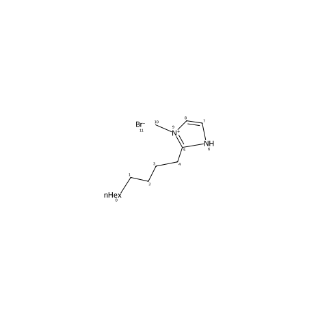 CCCCCCCCCCc1[nH]cc[n+]1C.[Br-]